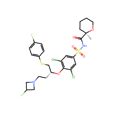 C[C@]1(C(=O)NS(=O)(=O)c2cc(Cl)c(O[C@H](CCN3CC(F)C3)CSc3ccc(F)cc3)c(Cl)c2)CCCCO1